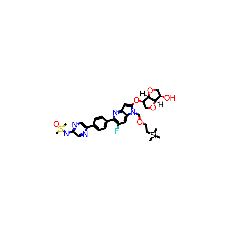 C[Si](C)(C)CCOCn1c(O[C@@H]2CO[C@H]3[C@@H]2OC[C@H]3O)cc2nc(-c3ccc(-c4cnc(N=S(C)(C)=O)cn4)cc3)c(F)cc21